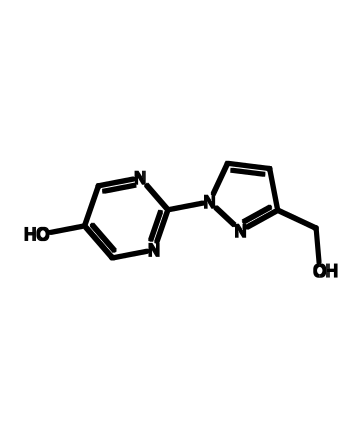 OCc1ccn(-c2ncc(O)cn2)n1